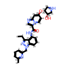 CCc1nn(Cc2cccc(C)n2)c2cccc(NC(=O)c3cnc4cc(O[C@@H]5CNC[C@H]5O)ccn34)c12